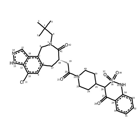 CC(C)(C)CN1Cc2c(cc(Cl)c3[nH]ncc23)C[C@@H](CC(=O)N2CCC(C3C(=O)c4ccccc4NS3(=O)=O)CC2)C1=O